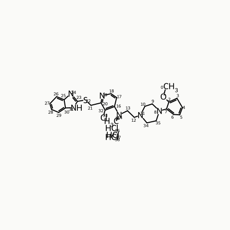 COc1ccccc1N1CCN(CCN(C)c2ccnc(CSc3nc4ccccc4[nH]3)c2Cl)CC1.Cl.Cl.Cl